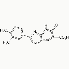 Cc1ccc(-c2ccc3cc(C(=O)O)c(=O)[nH]c3n2)cc1C